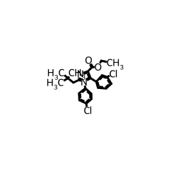 CCOC(=O)c1nc(CC(C)(C)C)n(-c2ccc(Cl)cc2)c1-c1cccc(Cl)c1